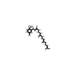 CC(C)=CCC/C(C)=C/CC/C(C)=C/CC/C(C)=C/Cc1cc(C)ccc1O